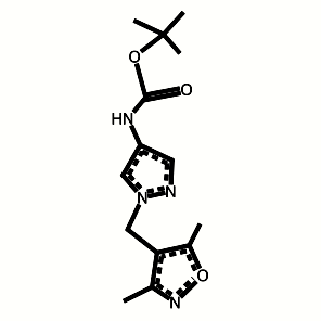 Cc1noc(C)c1Cn1cc(NC(=O)OC(C)(C)C)cn1